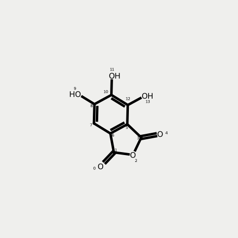 O=C1OC(=O)c2c1cc(O)c(O)c2O